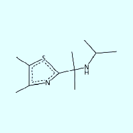 Cc1nc(C(C)(C)NC(C)C)sc1C